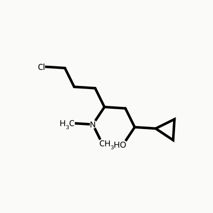 CN(C)C(CCCCl)CC(O)C1CC1